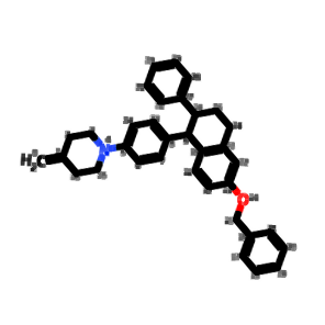 C=C1CCN(c2ccc(C3c4ccc(OCc5ccccc5)cc4CCC3c3ccccc3)cc2)CC1